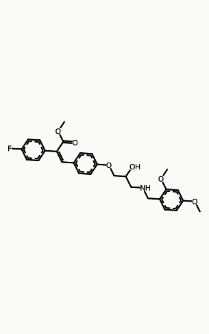 COC(=O)C(=Cc1ccc(OCC(O)CNCc2ccc(OC)cc2OC)cc1)c1ccc(F)cc1